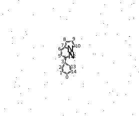 c1ccc(-c2ccc3cccn3n2)cc1